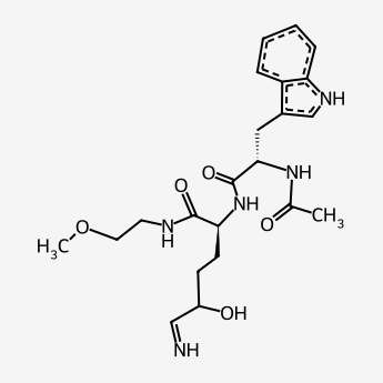 COCCNC(=O)[C@H](CCC(O)C=N)NC(=O)[C@H](Cc1c[nH]c2ccccc12)NC(C)=O